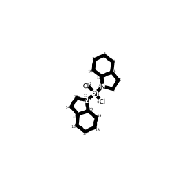 Cl[Si](Cl)(N1CCC2CCCCC21)N1CCC2CCCCC21